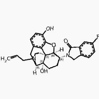 C=CCN1CC[C@]23c4c5ccc(O)c4O[C@H]2[C@H](N2Cc4ccc(F)cc4C2=O)CC[C@@]3(O)[C@H]1C5